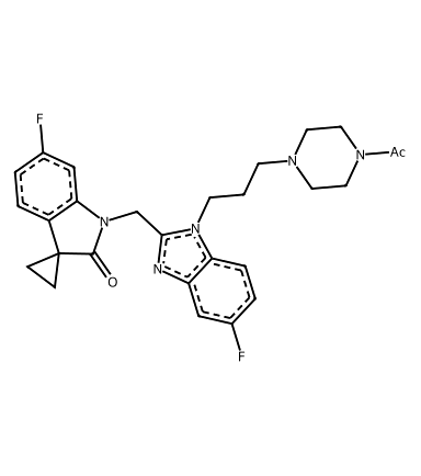 CC(=O)N1CCN(CCCn2c(CN3C(=O)C4(CC4)c4ccc(F)cc43)nc3cc(F)ccc32)CC1